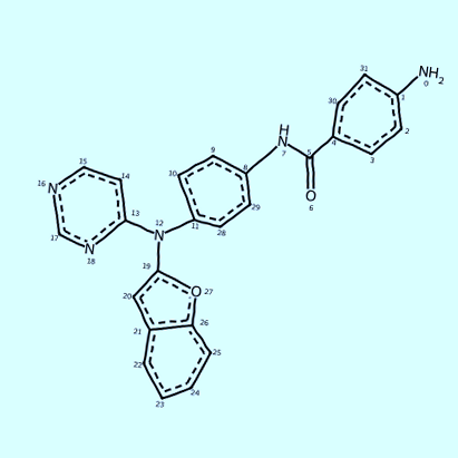 Nc1ccc(C(=O)Nc2ccc(N(c3ccncn3)c3cc4ccccc4o3)cc2)cc1